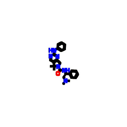 CN(C)C[C@@H](NC(=O)N1Cc2nc(Nc3ccccc3)ncc2C1(C)C)c1ccccc1